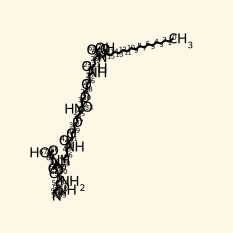 CCCCCCCCCCCCCCCCC(=O)N[C@@H](CCC(=O)NCCOCCOCC(=O)NCCOCCOCC(=O)NCCCC[C@H](CC(=O)[C@@H](N)Cc1cnc[nH]1)C(=O)NCC(=O)O)C(=O)O